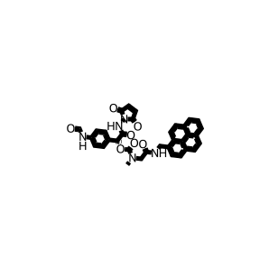 CN(CC(=O)NCc1ccc2ccc3cccc4ccc1c2c34)C(=O)O[C@@H](C(=O)NN1C(=O)C=CC1=O)c1ccc(NC=O)cc1